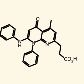 Cc1cc(CCC(=O)O)nc2c1c(=O)cc(Nc1ccccc1)n2-c1ccccc1